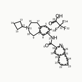 O=C(Nc1ccc2c(c1)CCN(C1CCC1)CC2)c1cc2ccccc2cn1.O=C(O)C(F)(F)F